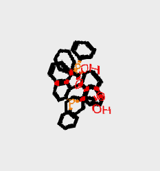 O=C(O)C1(c2cccc(P(c3ccccc3)c3ccccc3)c2-c2c(P(c3ccccc3)c3ccccc3)cccc2C2(C(=O)O)CCCCC2)CCCCC1